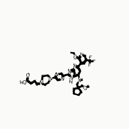 CCOc1ncc(C(F)(F)F)cc1-c1cc(N(C)CC2(COC)CCCC2)c2[nH]c(-c3cnc(N4CCN(CCCC(=O)O)CC4)cn3)nc2n1